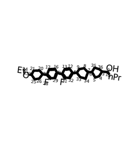 CCCC(O)C1CCC(C2CCC(c3ccc(-c4ccc(C5CCC(OCC)CC5)c(F)c4)c(F)c3)CC2)CC1